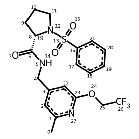 Cc1cc(CNC(=O)[C@@H]2CCCN2S(=O)(=O)c2ccccc2)cc(OCC(F)(F)F)n1